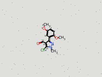 COc1ccc(OC)c(-c2nn(C)c(Cl)c2C=O)c1